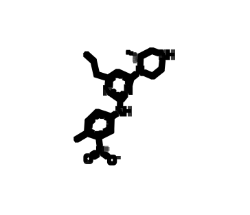 CCCc1cc(N2CCNC[C@H]2C)nc(Nc2ccc(C)c([N+](=O)[O-])c2)n1